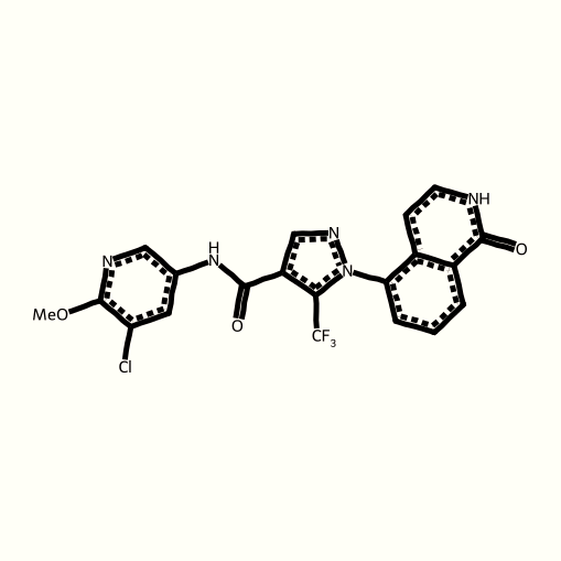 COc1ncc(NC(=O)c2cnn(-c3cccc4c(=O)[nH]ccc34)c2C(F)(F)F)cc1Cl